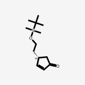 CC(C)(C)[Si](C)(C)OCC[C@H]1C=CC(=O)C1